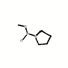 COP(Cl)N1CCCC1